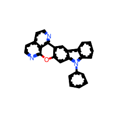 c1ccc(-n2c3ccccc3c3cc4c(cc32)Oc2nccc3ccnc-4c23)cc1